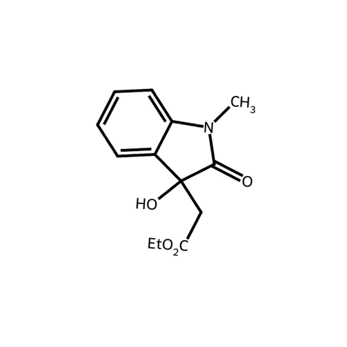 CCOC(=O)CC1(O)C(=O)N(C)c2ccccc21